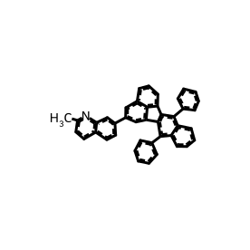 Cc1ccc2ccc(-c3cc4c5c(cccc5c3)-c3c-4c(-c4ccccc4)c4ccccc4c3-c3ccccc3)cc2n1